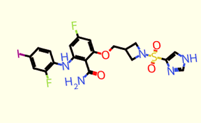 NC(=O)c1c(Nc2ccc(I)cc2F)cc(F)cc1OCC1CN(S(=O)(=O)c2c[nH]cn2)C1